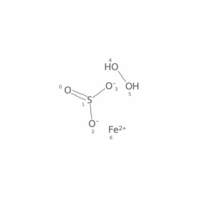 O=S([O-])[O-].OO.[Fe+2]